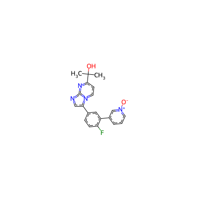 CC(C)(O)c1ccn2c(-c3ccc(F)c(-c4ccc[n+]([O-])c4)c3)cnc2n1